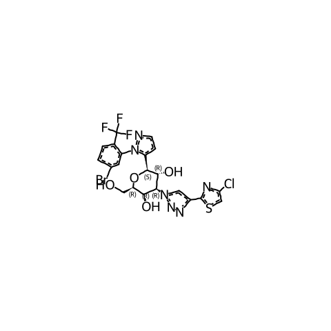 OC[C@H]1O[C@@H](c2ccnn2-c2cc(Br)ccc2C(F)(F)F)[C@H](O)[C@@H](n2cc(-c3nc(Cl)cs3)nn2)[C@H]1O